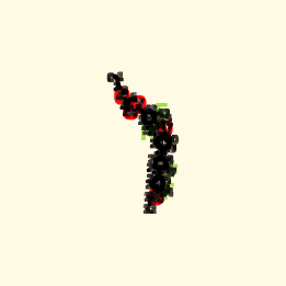 CCCCOC1COC(c2cc(F)c(C(F)(F)Oc3ccc(-c4ccc(-c5ccc(OCC)c(F)c5)c(F)c4)cc3)c(F)c2)OC1